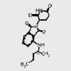 CCC[C@H](C)Nc1cccc2c1C(=O)N(C1CCC(=O)NC1=O)C2=O